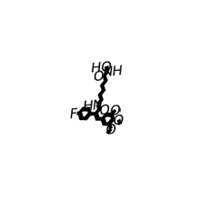 COc1cc(/C=C(\C(=O)NCCCCCC(=O)NO)c2ccc(F)cc2)cc(OC)c1OC